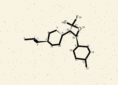 C/C=C/[C@H]1CC[C@H]([C@H]2[C@H](C3CCC(C)CC3)OC2(F)F)CC1